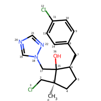 C[C@@]1(CCl)CC[C@H](Cc2ccc(Cl)cc2)C1(O)Cn1cncn1